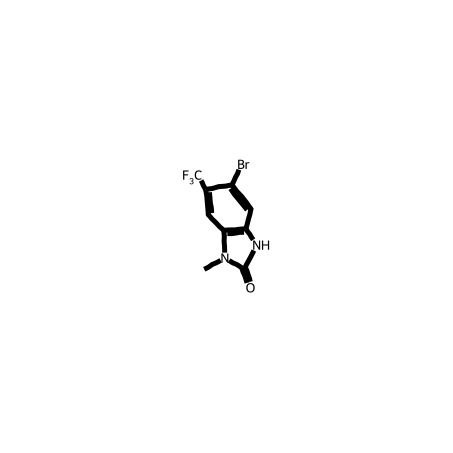 Cn1c(=O)[nH]c2cc(Br)c(C(F)(F)F)cc21